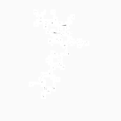 C[C@@H]1CC(c2csc(SC3=C(C(=O)O)N4C(=O)[C@H]([C@@H](C)O[Si](C)(C)C)[C@H]4[C@H]3C)n2)=CCN1C